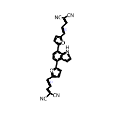 N#CC(C#N)=C/C=C/c1ccc(-c2ccc(-c3ccc(/C=C/C=C(C#N)C#N)o3)c3[nH]ccc23)o1